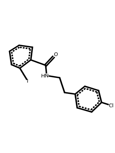 O=C(NCCc1ccc(Cl)cc1)c1ccccc1I